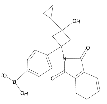 O=C1C2=C(CCC=C2)C(=O)N1C1(c2ccc(B(O)O)cc2)CC(O)(C2CC2)C1